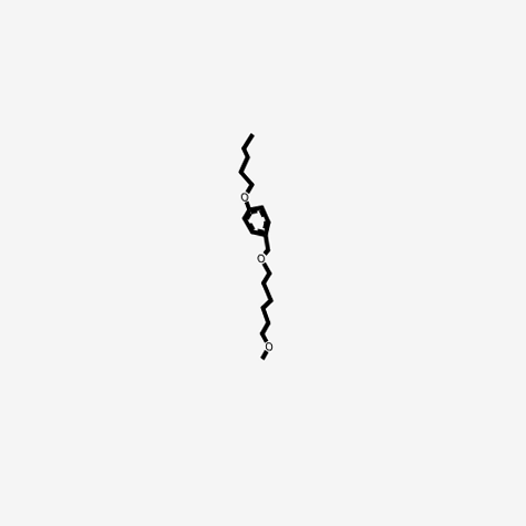 CCCCCOc1ccc(COCCCCCCOC)cc1